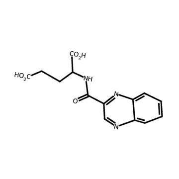 O=C(O)CCC(NC(=O)c1cnc2ccccc2n1)C(=O)O